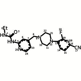 CCNC(=O)Nc1cc(CN2CCN(c3ccc(C#N)nc3F)CC2)ccn1